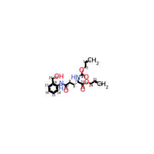 C=CCOC(=O)N[C@@H](CCC(=O)Nc1ccccc1CO)C(=O)OCC=C